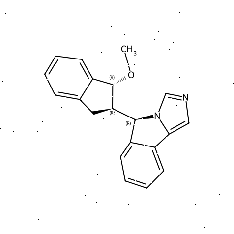 CO[C@H]1c2ccccc2C[C@@H]1[C@@H]1c2ccccc2-c2cncn21